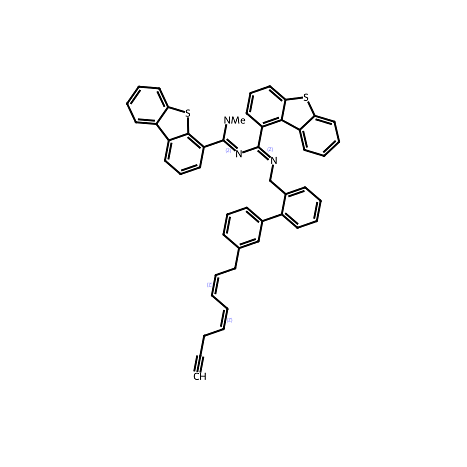 C#CC/C=C\C=C/Cc1cccc(-c2ccccc2C/N=C(\N=C(/NC)c2cccc3c2sc2ccccc23)c2cccc3sc4ccccc4c23)c1